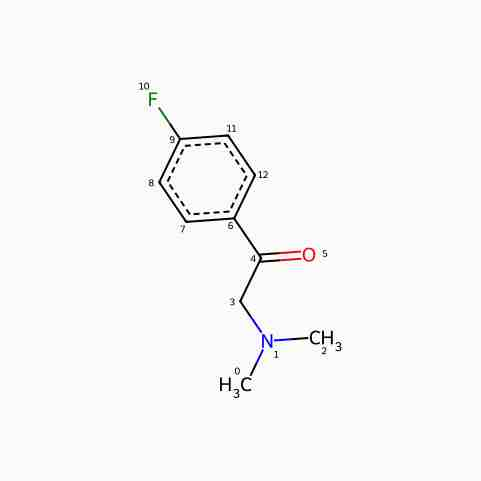 CN(C)CC(=O)c1ccc(F)cc1